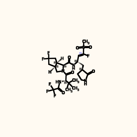 CC(C)(C)[C@H](NC(=O)C(F)(F)F)C(=O)N1C[C@H]2CC(F)(F)C[C@H]2[C@H]1C(=O)N[C@H](/C=C(\F)S(C)(=O)=O)C[C@@H]1CCNC1=O